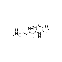 C=N/C(N[C@H]1CCOC1=O)=C(/C)C(=N)/C=C(\C)ONC